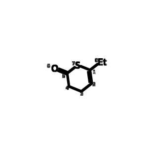 CCC1=CCCC(=O)S1